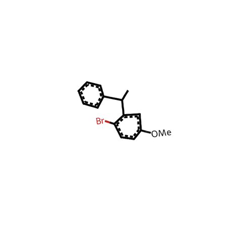 COc1ccc(Br)c(C(C)c2ccccc2)c1